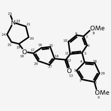 COc1ccc(-c2cc(OC)ccc2C(=O)c2ccc(OC3CCN(C)CC3)cc2)cc1